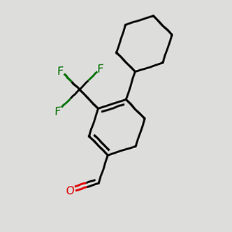 O=CC1=CC(C(F)(F)F)=C(C2CCCCC2)CC1